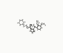 Cc1cccc([C@H](C)c2nccn2C(=O)OCCC2CCCCC2)c1C